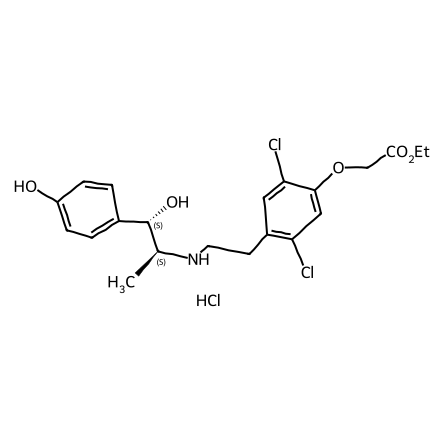 CCOC(=O)COc1cc(Cl)c(CCN[C@@H](C)[C@@H](O)c2ccc(O)cc2)cc1Cl.Cl